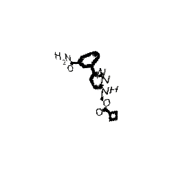 NC(=O)c1cccc(-c2ccc(NCOC(=O)C3CCC3)nn2)c1